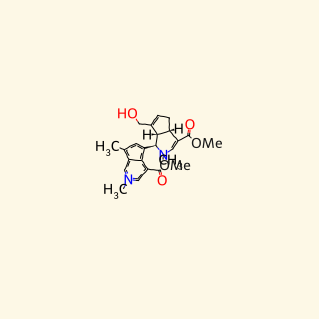 COC(=O)C1=CN(C)[C@@H](c2cc(C)c3cn(C)cc(C(=O)OC)c2-3)[C@@H]2C(CO)=CC[C@H]12